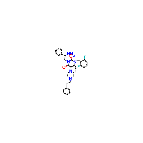 Cc1c(N2CCN(CCc3ccccc3)CC2)c(=O)n(CC(N)c2ccccc2)c(=O)n1Cc1c(F)cccc1F